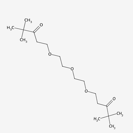 CC(C)(C)C(=O)CCOCCOCCOCCC(=O)C(C)(C)C